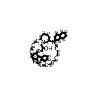 O[C@H](COc1cccc2[nH]c3ccccc3c12)CN1CC2C/C=C\CC1CCCCCCCCCCCCCCCCCCCCN2c1ccc2ccccc2c1